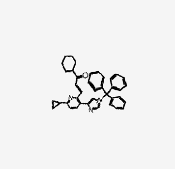 O=C(/C=C/c1nc(C2CC2)ccc1-c1cn(C(c2ccccc2)(c2ccccc2)c2ccccc2)cn1)C1CCCCC1